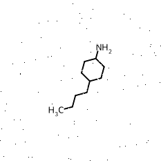 CCCCC1CCC(N)CC1